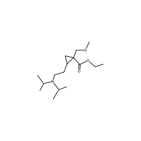 CCOC(=O)C1(COC)CC1CCN(C(C)C)C(C)C